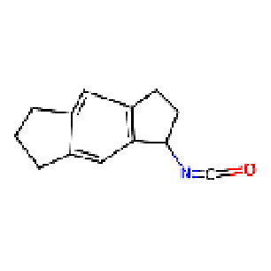 O=C=NC1CCc2cc3c(cc21)CCC3